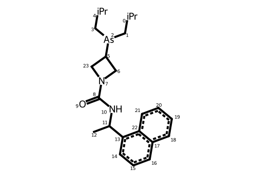 CC(C)C[As](CC(C)C)C1CN(C(=O)NC(C)c2cccc3ccccc23)C1